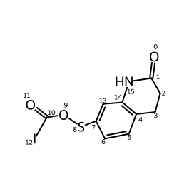 O=C1CCc2ccc(SOC(=O)I)cc2N1